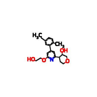 CCc1ccc(C)c(-c2cc(OCCO)nc(C3CCOCC3O)c2)c1